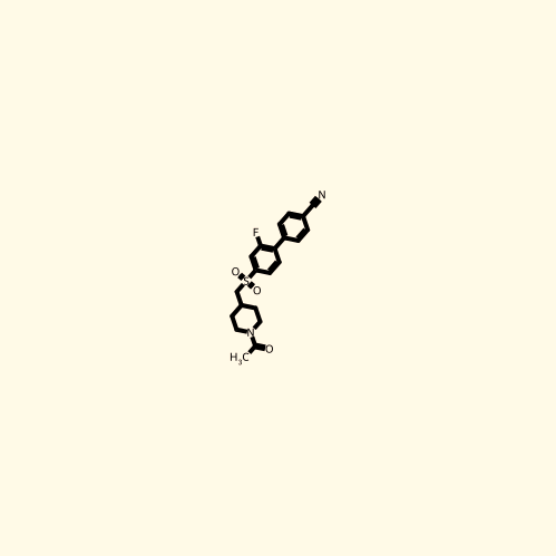 CC(=O)N1CCC(CS(=O)(=O)c2ccc(-c3ccc(C#N)cc3)c(F)c2)CC1